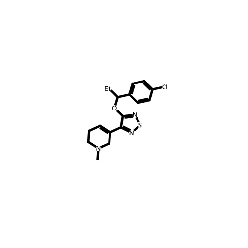 CCC(Oc1nsnc1C1=CCCN(C)C1)c1ccc(Cl)cc1